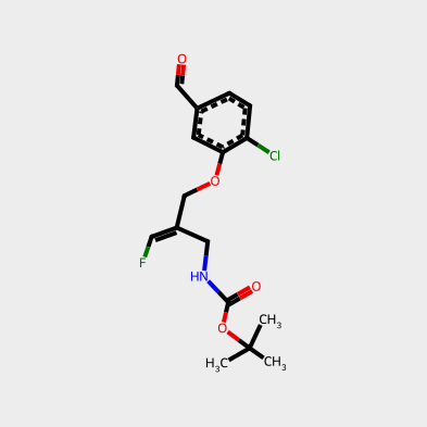 CC(C)(C)OC(=O)NC/C(=C\F)COc1cc(C=O)ccc1Cl